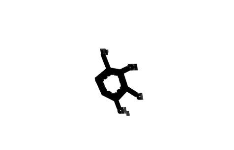 Cc1ccc(C(C)C)c(O)c1Cl